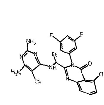 CCC(Nc1nc(N)nc(N)c1C#N)c1nc2cccc(Cl)c2c(=O)n1-c1cc(F)cc(F)c1